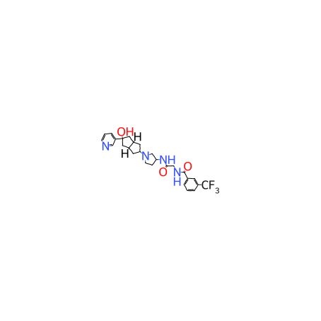 O=C(CNC(=O)c1cccc(C(F)(F)F)c1)NC1CCN(C2C[C@@H]3CC(O)(c4cccnc4)C[C@@H]3C2)C1